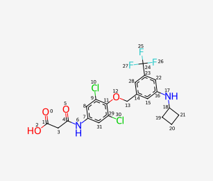 O=C(O)CC(=O)Nc1cc(Cl)c(OCc2cc(NC3CCC3)cc(C(F)(F)F)c2)c(Cl)c1